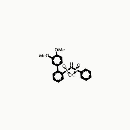 COc1ccc(-c2ccccc2S(=O)(=O)NS(=O)(=O)c2ccccc2)cc1OC